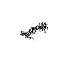 C=C(Nc1cccnc1)NC1CCN(c2nccc(Oc3ccc(OC(F)(F)F)cc3C)c2Cl)CC1